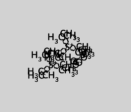 CC(C)(C)c1ccc([S+](c2ccc(C(C)(C)C)cc2)c2ccc(C(C)(C)C)cc2)cc1.CC(C)(C)c1ccc([S+](c2ccc(C(C)(C)C)cc2)c2ccc(C(C)(C)C)cc2)cc1.O=S(=O)([O-])CCCS(=O)(=O)[O-]